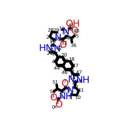 COC(=O)N[C@H](C(=O)N1CCCC1c1nc(-c2ccc3cc(-c4c[nH]c([C@@H]5CCCN5C(=O)[C@H](C(C)C)N(C)C(=O)O)n4)ccc3c2)c[nH]1)C(C)C